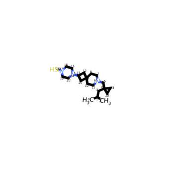 CC(C)CC1(CN2CCC3(CC2)CC(N2CCN(S)CC2)C3)CC1